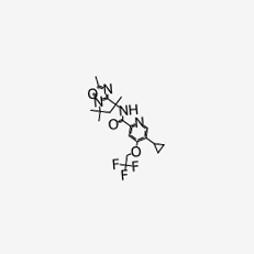 Cc1nc(C(C)(CC(C)(C)C)NC(=O)c2cc(OCC(F)(F)F)c(C3CC3)cn2)no1